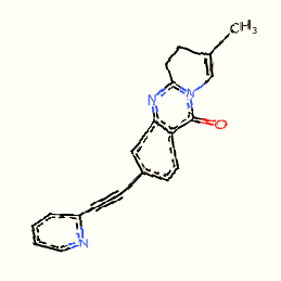 CC1=Cn2c(nc3cc(C#Cc4ccccn4)ccc3c2=O)CC1